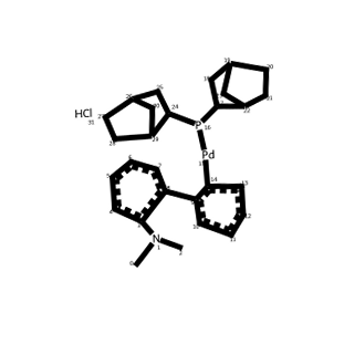 CN(C)c1ccccc1-c1cccc[c]1[Pd][P](C1CC2CCC1C2)C1CC2CCC1C2.Cl